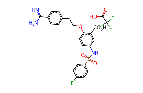 N=C(N)c1ccc(CCOc2ccc(NS(=O)(=O)c3ccc(F)cc3)cc2C(=O)O)cc1.O=C(O)C(F)(F)F